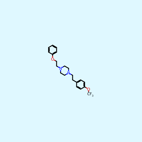 FC(F)(F)Oc1ccc(CCN2CCN(CCOc3ccccc3)CC2)cc1